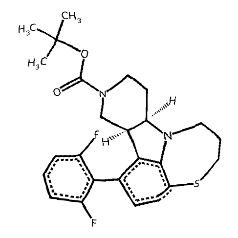 CC(C)(C)OC(=O)N1CC[C@@H]2[C@H](C1)c1c(-c3c(F)cccc3F)ccc3c1N2CCCS3